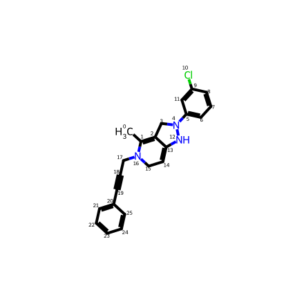 CC1=C2CN(c3cccc(Cl)c3)NC2=CCN1CC#Cc1ccccc1